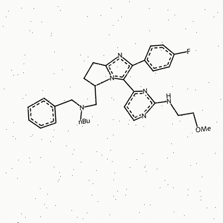 CCCCN(Cc1ccccc1)CC1CCc2nc(-c3ccc(F)cc3)c(-c3ccnc(NCCOC)n3)n21